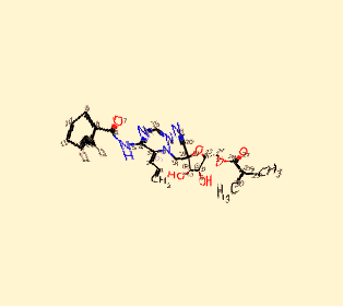 C=C/C=C1/C(NC(=O)c2ccccc2)=NC=NN1CC1(C#N)O[C@H](COC(=O)C(C)C)[C@@H](O)[C@H]1O